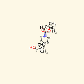 CC(C)(CO)CC1CCN(C(=O)OC(C)(C)C)CC1